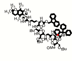 CC[C@H](C)[C@H](NC(=O)[C@H](CCCNC(=N)NS(=O)(=O)c1c(C)c(C)c2c(c1C)CCC(C)(C)O2)NC(=O)OCC1c2ccccc2-c2ccccc21)C(=O)N[C@H](C(=O)NCC(=O)N[C@@H](CC(=O)NC(c1ccccc1)(c1ccccc1)c1ccccc1)C(=O)N[C@@H](COC(C)(C)C)C(=O)OC)[C@@H](C)OC(C)(C)C